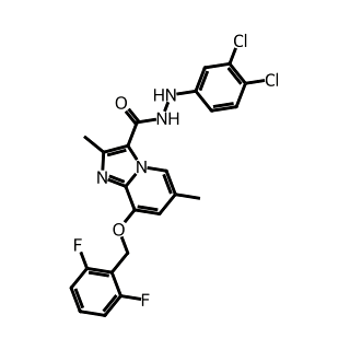 Cc1cc(OCc2c(F)cccc2F)c2nc(C)c(C(=O)NNc3ccc(Cl)c(Cl)c3)n2c1